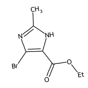 CCOC(=O)c1[nH]c(C)nc1Br